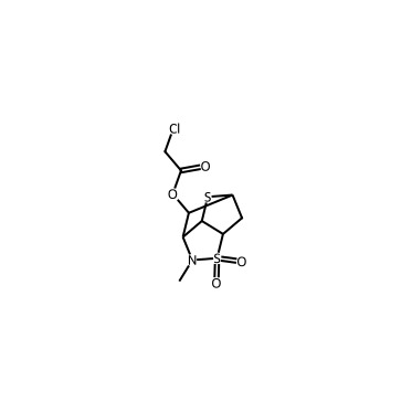 CN1C2C(OC(=O)CCl)C3CC(C2S3)S1(=O)=O